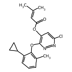 CC(C)=CC(=O)Oc1cc(Cl)nnc1Oc1c(C)cccc1C1CC1